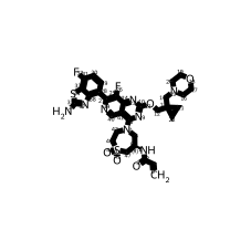 C=CC(=O)N[C@@H]1CN(c2nc(OCC3(CN4CCOCC4)CC3)nc3c(F)c(-c4ccc(F)c5sc(N)nc45)ncc23)CCS(=O)(=O)C1